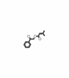 CC(C)=CC(=O)OCC(=O)c1ccccc1